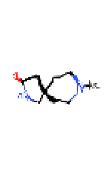 [CH2]C(=O)N1CCC2(CC1)CNC(=O)C2